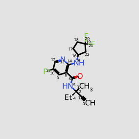 C#C[C@](C)(CC)NC(=O)c1cc(F)cnc1NC1CCC(F)(F)C1